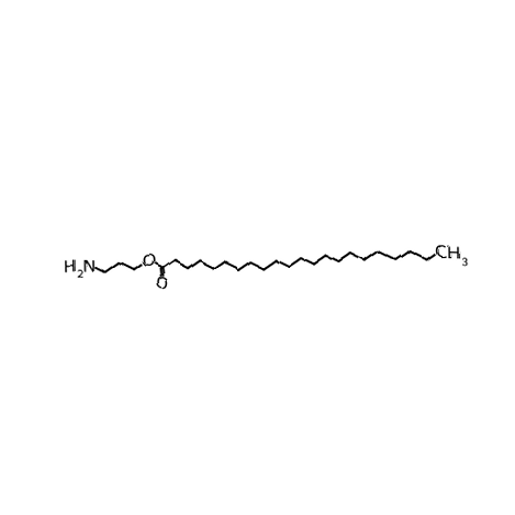 CCCCCCCCCCCCCCCCCCCCCC(=O)OCCCN